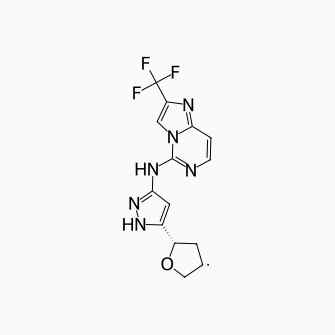 FC(F)(F)c1cn2c(Nc3cc([C@@H]4C[CH]CO4)[nH]n3)nccc2n1